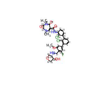 COc1cc(-c2cccc(-c3cccc(NC(=O)C4=CN(C)C5OC5N(C)C4=O)c3Cl)c2Cl)cc(F)c1CN[C@H]1COCC[C@@H]1O